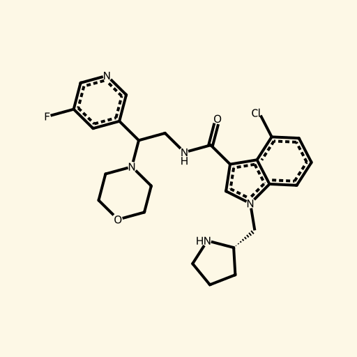 O=C(NCC(c1cncc(F)c1)N1CCOCC1)c1cn(C[C@@H]2CCCN2)c2cccc(Cl)c12